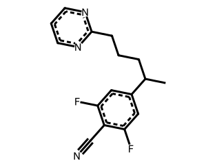 CC(CCCc1ncccn1)c1cc(F)c(C#N)c(F)c1